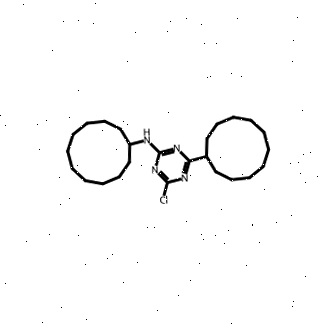 Clc1nc(NC2CCCCCCCCCC2)nc(C2CCCCCCCCCC2)n1